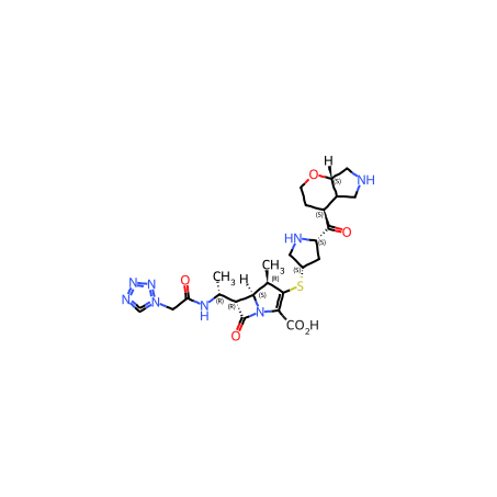 C[C@@H](NC(=O)Cn1cnnn1)[C@H]1C(=O)N2C(C(=O)O)=C(S[C@@H]3CN[C@H](C(=O)[C@H]4CCO[C@@H]5CNCC45)C3)[C@H](C)[C@H]12